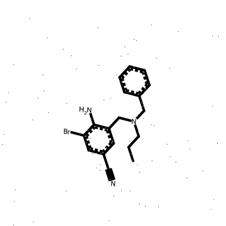 CCCN(Cc1ccccc1)Cc1cc(C#N)cc(Br)c1N